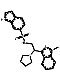 Cn1nc(C(CNS(=O)(=O)c2ccc3cc[nH]c3c2)N2CCCC2)c2ccccc21